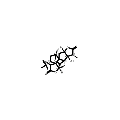 C[C@@H]1C(=O)O[C@H]2CC34[C@H]5C[C@@H](C(C)(C)C)C36C(O)C(=O)O[C@H]6O[C@@]4(C(=O)O5)[C@]21O